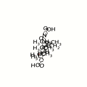 C=C(C)[C@@H]1CC[C@]2(N(C)CC(=O)N3CCC(C(=O)O)CC3)CC[C@]3(C)[C@H](CC[C@@H]4[C@@]5(C)CC=C(c6ccc(C(=O)O)cc6)C(C)(C)[C@@H]5CC[C@]43C)[C@@H]12